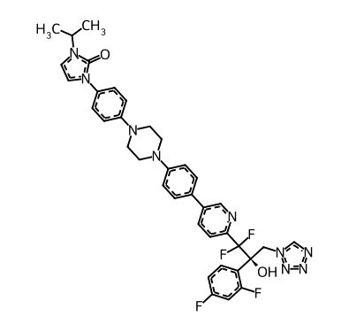 CC(C)n1ccn(-c2ccc(N3CCN(c4ccc(-c5ccc(C(F)(F)[C@](O)(Cn6cnnn6)c6ccc(F)cc6F)nc5)cc4)CC3)cc2)c1=O